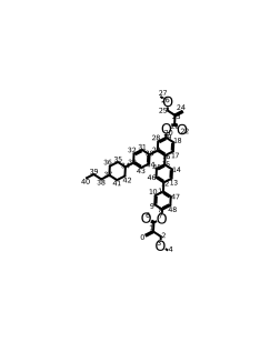 C=C(COC)C(=O)Oc1ccc(-c2ccc(-c3ccc(OC(=O)C(=C)COC)cc3-c3ccc(C4CCC(CCC)CC4)cc3)cc2)cc1